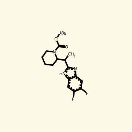 CC(c1nc2cc(F)c(F)cc2[nH]1)C1CCCCN1C(=O)OC(C)(C)C